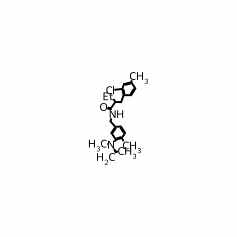 C=C(C)N(C)c1cc(CNC(=O)C(CC)Cc2ccc(C)cc2Cl)ccc1C